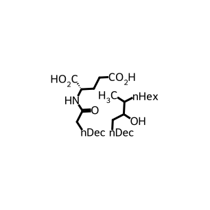 CCCCCCCCCCCC(=O)N[C@@H](CCC(=O)O)C(=O)O.CCCCCCCCCCCC(O)C(C)CCCCCC